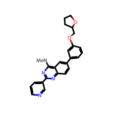 CNc1nc(-c2cccnc2)nc2ccc(-c3cccc(OCC4CCCO4)c3)cc12